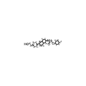 Cc1ccc(OCC(=O)Nc2ccc3nc(N4CCN(CCO)CC4)ncc3c2)cc1